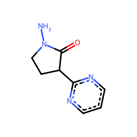 NN1CCC(c2ncccn2)C1=O